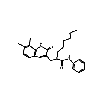 CCCCCCN(Cc1cc2ccc(C)c(C)c2[nH]c1=O)C(=O)Nc1ccccc1